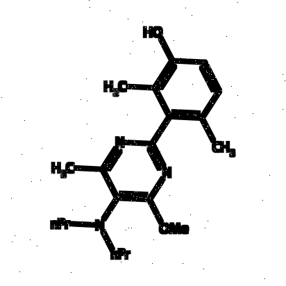 CCCN(CCC)c1c(C)nc(-c2c(C)ccc(O)c2C)nc1OC